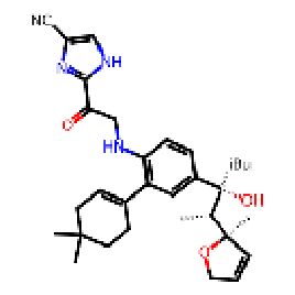 CC[C@@H](C)[C@](O)(c1ccc(NCC(=O)c2nc(C#N)c[nH]2)c(C2=CCC(C)(C)CC2)c1)[C@@H](C)[C@@]1(C)C=CCO1